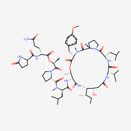 CC[C@H](C)[C@@H]1NC(=O)[C@H](NC(=O)[C@@H](CC(C)C)N(C)C(=O)[C@@H]2CCCN2C(=O)[C@H](C)OC(=O)[C@@H](CCC(N)=O)NC(=O)C2CCC(=O)N2)[C@H](C)OC(=O)[C@H](Cc2ccc(OC)cc2)N(C)C(=O)[C@@H]2CCCN2C(=O)[C@H](CC(C)C)NC(=O)[C@H](C(C)C)NC(=O)C[C@@H]1O